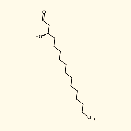 CCCCCCCCCCCCC[C@@H](O)C[C]=O